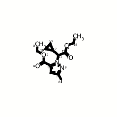 CCOC(=O)c1cc(I)nn1C(C(=O)OCC)C1CC1